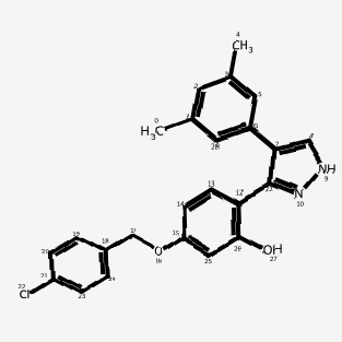 Cc1cc(C)cc(-c2c[nH]nc2-c2ccc(OCc3ccc(Cl)cc3)cc2O)c1